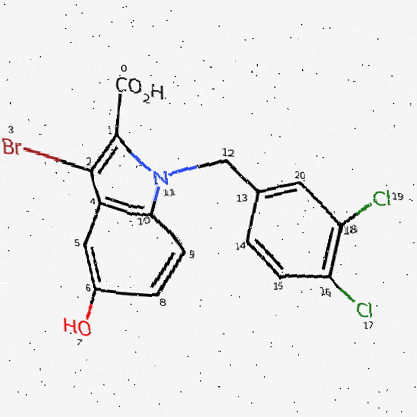 O=C(O)c1c(Br)c2cc(O)ccc2n1Cc1ccc(Cl)c(Cl)c1